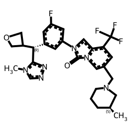 C[C@H]1CCCN(Cc2cc(C(F)(F)F)c3cn(-c4cc(F)cc([C@H](c5nncn5C)C5COC5)c4)c(=O)n3c2)C1